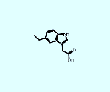 CCc1ccc2[nH]cc(CC(=O)O)c2c1